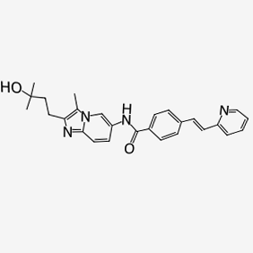 Cc1c(CCC(C)(C)O)nc2ccc(NC(=O)c3ccc(C=Cc4ccccn4)cc3)cn12